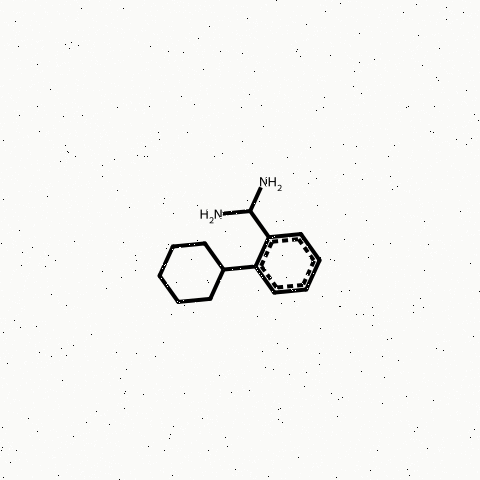 NC(N)c1ccccc1C1CCCCC1